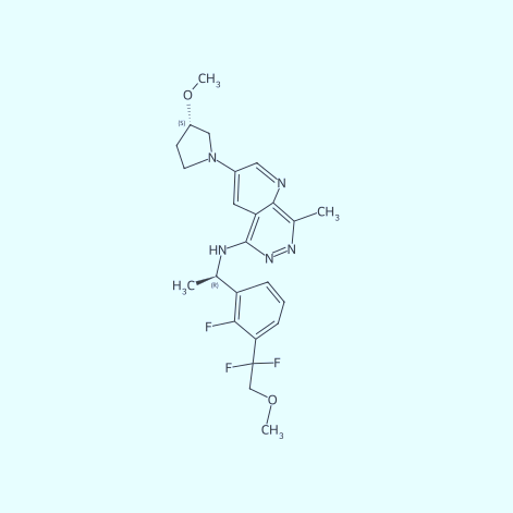 COCC(F)(F)c1cccc([C@@H](C)Nc2nnc(C)c3ncc(N4CC[C@H](OC)C4)cc23)c1F